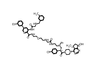 CCc1cccc(-c2cnc(C(=O)NCCOCCNCC(=O)NCCN(C[C@@H](C(=O)N3CCN(c4ncnc5c4[C@H](C)C[C@H]5O)CC3)c3ccc(Cl)cc3)C(C)C)c(NC(=O)CNCc3cccc(C)c3)c2)c1